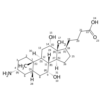 C[C@]12CC[C@@H](N)C[C@H]1C[C@@H](O)[C@@H]1[C@@H]2C[C@H](O)[C@]2(C)[C@@H](CCCC(=O)O)CC[C@@H]12